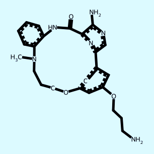 CN1CCCOc2cc(OCCCN)cc(c2)-c2cnc(N)c(n2)C(=O)Nc2ccccc21